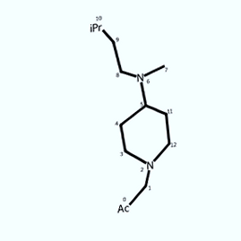 CC(=O)CN1CCC(N(C)CCC(C)C)CC1